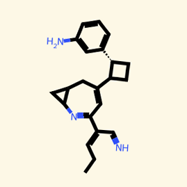 CC/C=C(\C=N)C1=NC2CC2CC(C2CC[C@H]2c2cccc(N)c2)=C1